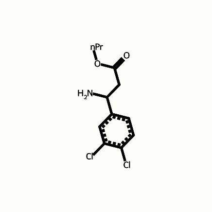 CCCOC(=O)CC(N)c1ccc(Cl)c(Cl)c1